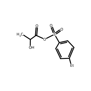 CCc1ccc(S(=O)(=O)OC(=O)C(C)O)cc1